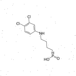 O=[PH](O)CCCCNc1ccc(Cl)c(Cl)c1